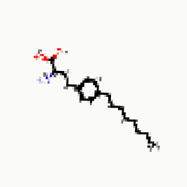 CCCCCCCCc1ccc(CCC(N)C(=O)O)cc1